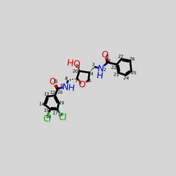 O=C(NC[C@@H]1CO[C@H](CNC(=O)c2ccc(Cl)c(Cl)c2)[C@H]1O)c1ccccc1